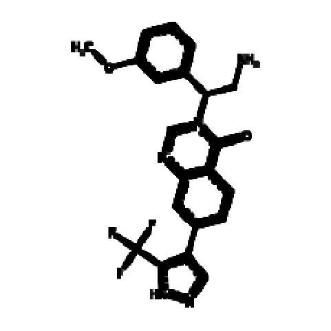 COc1cccc(C(CN)n2cnc3cc(-c4cn[nH]c4C(F)(F)F)ccc3c2=O)c1